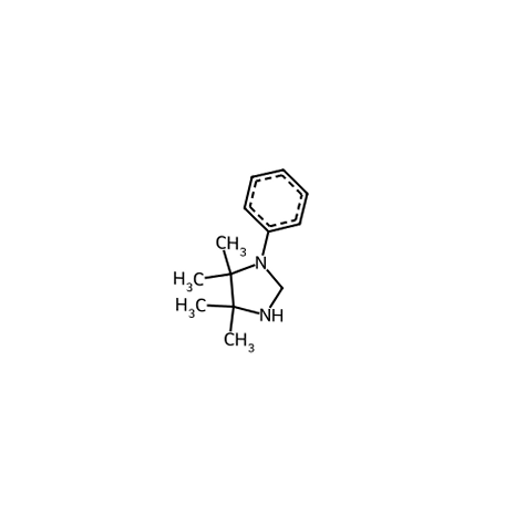 CC1(C)NCN(c2ccccc2)C1(C)C